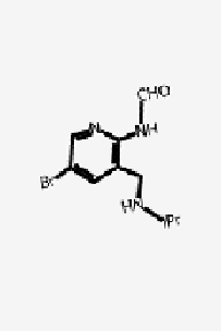 CC(C)NCc1cc(Br)cnc1NC=O